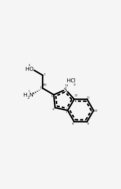 Cl.N[C@H](CO)c1cc2ccccc2s1